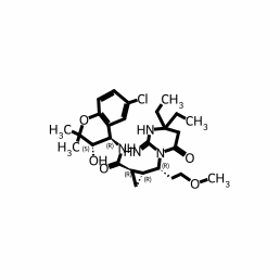 CCC1(CC)CC(=O)N([C@H](CCOC)[C@@H]2C[C@H]2C(=O)N[C@@H]2c3cc(Cl)ccc3OC(C)(C)[C@H]2O)C(=N)N1